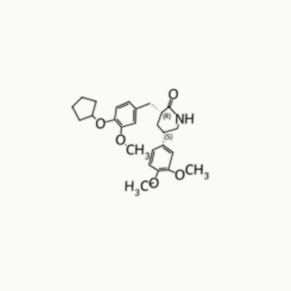 COc1ccc([C@H]2CNC(=O)[C@@H](Cc3ccc(OC4CCCC4)c(OC)c3)C2)cc1OC